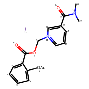 CC(=O)Oc1ccccc1C(=O)OC[n+]1cccc(C(=O)N(C)C)c1.[I-]